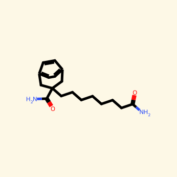 NC(=O)CCCCCCCC1(C(N)=O)Cc2ccc(cc2)C1